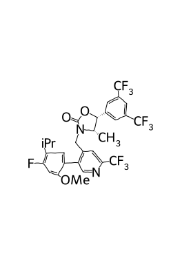 COc1cc(F)c(C(C)C)cc1-c1cnc(C(F)(F)F)cc1CN1C(=O)O[C@H](c2cc(C(F)(F)F)cc(C(F)(F)F)c2)[C@@H]1C